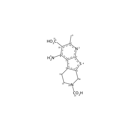 Cc1nc2sc3c(c2c(N)c1C(=O)O)CCN(C(=O)O)C3